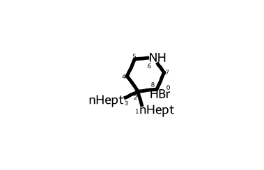 Br.CCCCCCCC1(CCCCCCC)CCNCC1